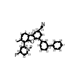 Cc1ccc2c(oc3c(-c4cccc(-c5ccccc5)c4)cc(C#N)cc32)c1-c1cc(F)cc[n+]1C